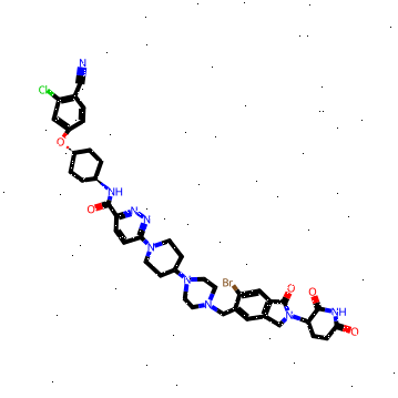 N#Cc1ccc(O[C@H]2CC[C@H](NC(=O)c3ccc(N4CCC(N5CCN(Cc6cc7c(cc6Br)C(=O)N(C6CCC(=O)NC6=O)C7)CC5)CC4)nn3)CC2)cc1Cl